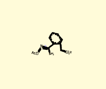 CC(=O)O/N=C(\N)c1ccccc1CC(=O)O